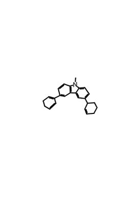 Cn1c2ccc(C3=CCCC=C3)cc2c2cc(C3C=CCCC3)ccc21